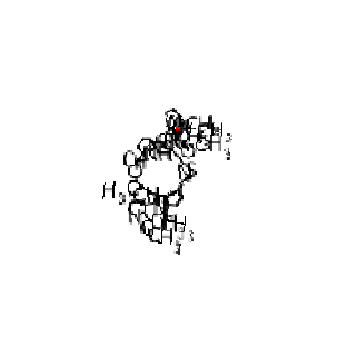 CCn1c(-c2cccnc2[C@H](C)OC)c2c3cc(ccc31)-c1csc(n1)C[C@H](NC(=O)[C@H](C(C)C)N(C)C(=O)N1C3CCC1CN(C)C3)C(=O)N1CCC[C@H](N1)C(=O)OCC(C)(C)C2